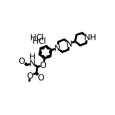 COC(=O)C(NC=O)Oc1cccc(N2CCN(C3CCNCC3)CC2)c1.Cl.Cl